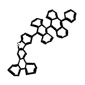 c1ccc(-c2c3ccccc3c(-c3c4ccccc4c(-c4ccc5sc6cc7c8ccccc8c8ccccc8c7cc6c5c4)c4ccccc34)c3ccccc23)cc1